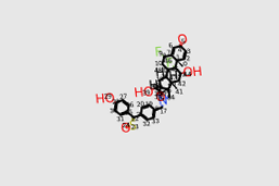 C[C@]12C=CC(=O)C=C1[C@@H](F)C[C@H]1[C@@H]3C[C@H]4CN(Cc5ccc(C(=S=O)c6ccc(O)cc6)cc5)C[C@@]4(C(=O)CO)[C@@]3(C)C[C@H](O)[C@@]12F